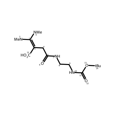 CNC(NC)=C(CC(=O)NCCNC(=O)OC(C)(C)C)C(=O)O